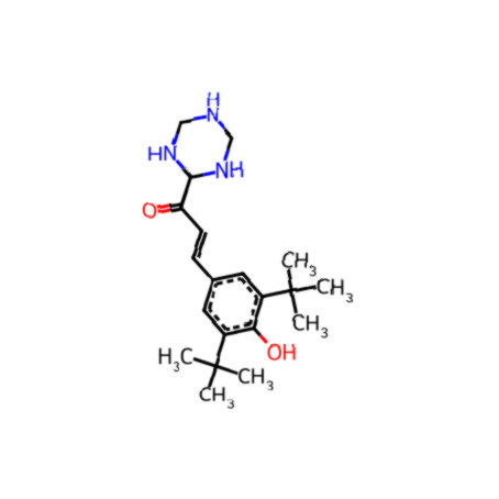 CC(C)(C)c1cc(C=CC(=O)C2NCNCN2)cc(C(C)(C)C)c1O